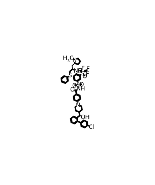 CN1CCC[C@H]1C[C@H](CSc1ccccc1)Nc1ccc(S(=O)(=O)NC(=O)c2ccc(N3CCC([C@@H](O)c4ccccc4-c4ccc(Cl)cc4)CC3)cc2)cc1S(=O)(=O)C(F)(F)F